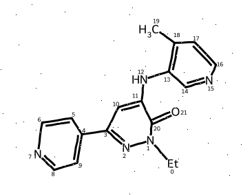 CCn1nc(-c2ccncc2)cc(Nc2cnccc2C)c1=O